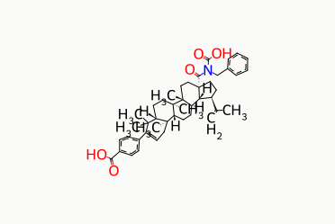 C=C(C)[C@@H]1CC[C@]2(C(=O)N(Cc3ccccc3)C(=O)O)CC[C@]3(C)[C@H](CC[C@@H]4[C@@]5(C)CC=C(c6ccc(C(=O)O)cc6)C(C)(C)[C@@H]5CC[C@]43C)[C@@H]12